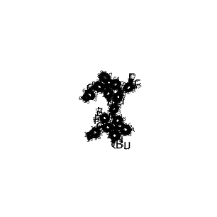 CC(C)(C)c1ccc(C2(c3ccc(Oc4ccc5c(c4)CC5)cc3)c3ccccc3-c3ccc(N(c4ccc(-c5ccc(N(c6ccc(F)c(F)c6)c6ccc7c(c6)C(c6ccc(Oc8ccc9c(c8)CC9)cc6)(c6ccc(C(C)(C)C)cc6)c6ccccc6-7)cc5)cc4)c4ccc(F)c(F)c4)cc32)cc1